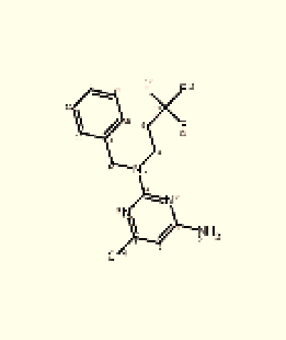 Nc1cc(Cl)nc(N(CCC(F)(F)F)Cc2ccccc2)n1